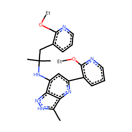 CCOc1ncccc1CC(C)(C)Nc1cc(-c2cccnc2OCC)nc2c(C)[nH]nc12